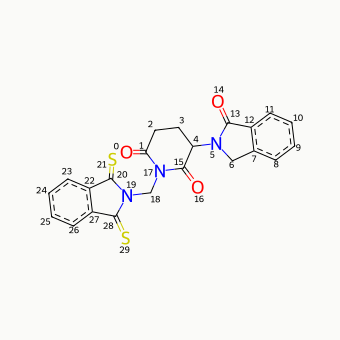 O=C1CCC(N2Cc3ccccc3C2=O)C(=O)N1CN1C(=S)c2ccccc2C1=S